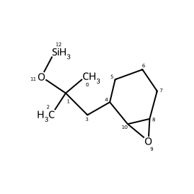 CC(C)(CC1CCCC2OC12)O[SiH3]